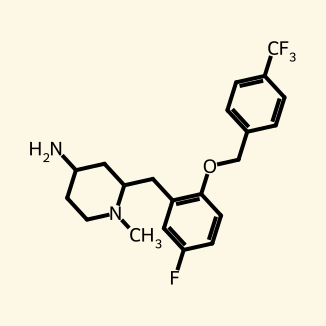 CN1CCC(N)CC1Cc1cc(F)ccc1OCc1ccc(C(F)(F)F)cc1